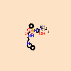 CN(C)C1CN([S+]([O-])c2ccccc2OCC(=O)NCCCN2CCc3ccccc3C2)CC1O